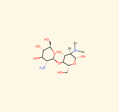 CC(=O)N(C(C)=O)[C@@]1(C(C)=O)[C@H](O)O[C@H](CO)[C@@H](O[C@@H]2O[C@H](CO)[C@@H](O)[C@H](O)[C@H]2N)[C@@H]1O